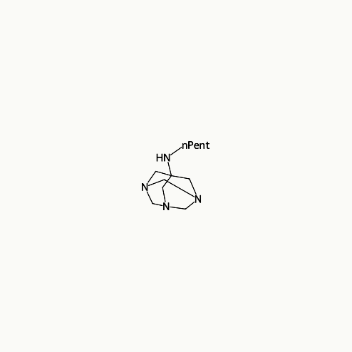 CCCCCNC12CN3CN(CN(C3)C1)C2